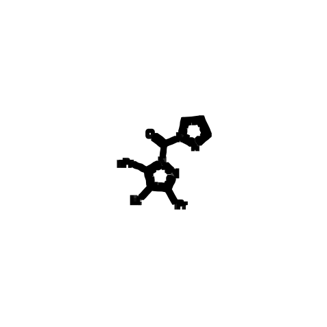 CCCc1c(CC)c(C(C)C)nn1C(=O)n1cccn1